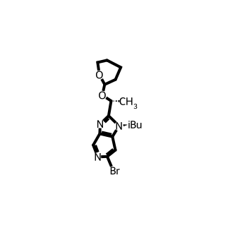 CC[C@@H](C)n1c([C@@H](C)OC2CCCCO2)nc2cnc(Br)cc21